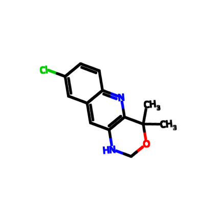 CC1(C)OCNc2cc3cc(Cl)ccc3nc21